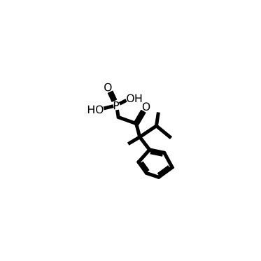 CC(C)C(C)(C(=O)CP(=O)(O)O)c1ccccc1